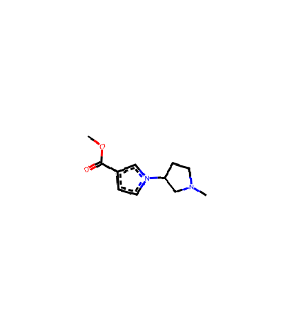 COC(=O)c1ccn(C2CCN(C)C2)c1